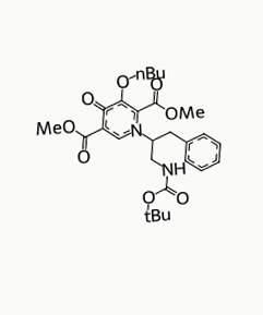 CCCCOc1c(C(=O)OC)n(C(CNC(=O)OC(C)(C)C)Cc2ccccc2)cc(C(=O)OC)c1=O